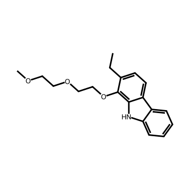 CCc1ccc2c([nH]c3ccccc32)c1OCCOCCOC